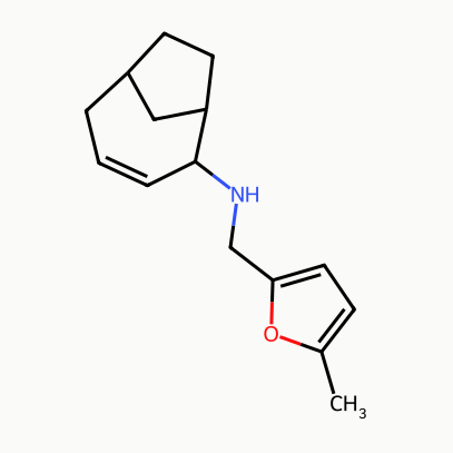 Cc1ccc(CNC2C=CCC3CCC2C3)o1